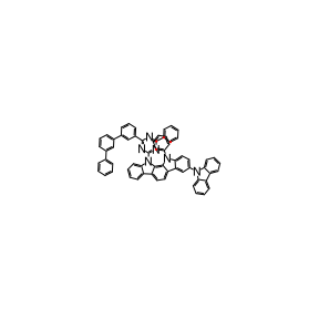 c1ccc(-c2cccc(-c3cccc(-c4nc(-c5ccccc5)nc(-n5c6ccccc6c6ccc7c8cc(-n9c%10ccccc%10c%10ccccc%109)ccc8n(-c8ccccc8)c7c65)n4)c3)c2)cc1